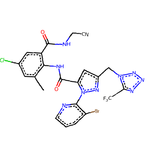 Cc1cc(Cl)cc(C(=O)NCC#N)c1NC(=O)c1cc(Cn2nnnc2C(F)(F)F)nn1-c1ncccc1Br